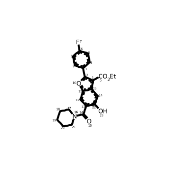 CCOC(=O)c1c(-c2ccc(F)cc2)oc2cc(C(=O)N3CCCCC3)c(O)cc12